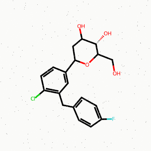 OCC1OC(c2ccc(Cl)c(Cc3ccc(F)cc3)c2)CC(O)[C@@H]1O